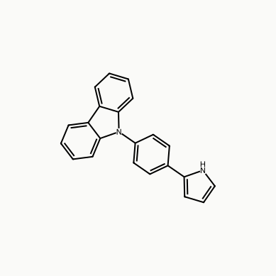 c1c[nH]c(-c2ccc(-n3c4ccccc4c4ccccc43)cc2)c1